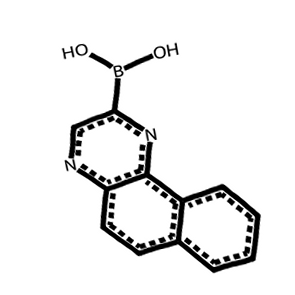 OB(O)c1cnc2ccc3ccccc3c2n1